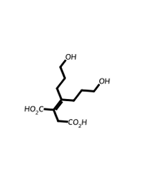 O=C(O)CC(C(=O)O)=C(CCCO)CCCO